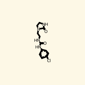 O=C(NCCN1CCNC1=O)Nc1ccc(Cl)cc1